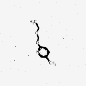 CCOCOc1ccc(C)cn1